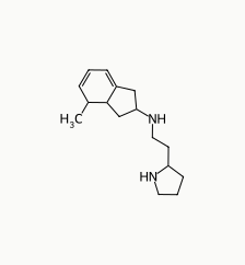 CC1C=CC=C2CC(NCCC3CCCN3)CC21